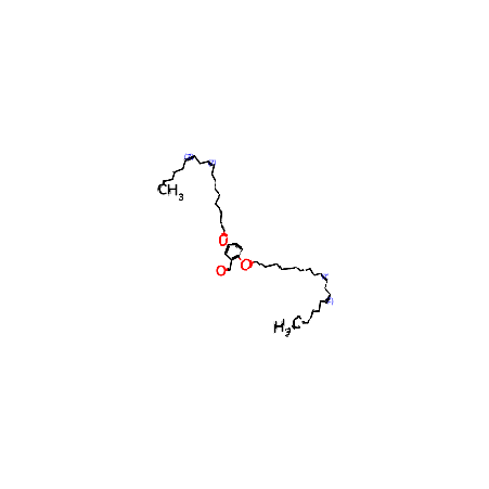 CCCCC/C=C\C/C=C\CCCCCCCCOc1ccc(OCCCCCCCC/C=C\C/C=C\CCCCC)c(C=O)c1